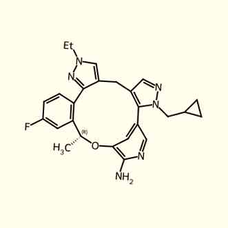 CCn1cc2c(n1)-c1ccc(F)cc1[C@@H](C)Oc1cc(cnc1N)-c1c(cnn1CC1CC1)C2